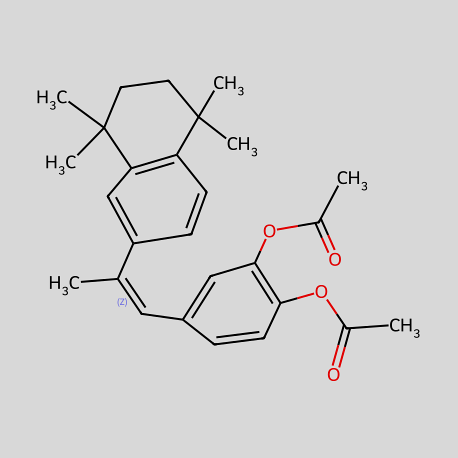 CC(=O)Oc1ccc(/C=C(/C)c2ccc3c(c2)C(C)(C)CCC3(C)C)cc1OC(C)=O